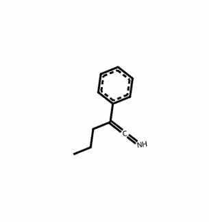 CCCC(=C=N)c1ccccc1